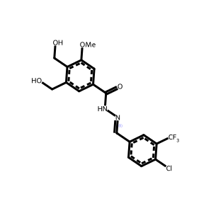 COc1cc(C(=O)N/N=C/c2ccc(Cl)c(C(F)(F)F)c2)cc(CO)c1CO